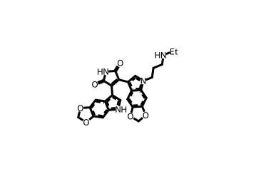 CCNCCCn1cc(C2=C(c3c[nH]c4cc5c(cc34)OCO5)C(=O)NC2=O)c2cc3c(cc21)OCO3